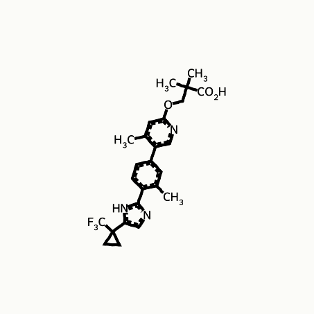 Cc1cc(OCC(C)(C)C(=O)O)ncc1-c1ccc(-c2ncc(C3(C(F)(F)F)CC3)[nH]2)c(C)c1